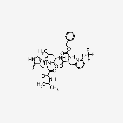 CC(C)C[C@H](NC(=O)[C@H](Cc1cccc(OC(F)(F)F)n1)NC(=O)OCc1ccccc1)C(=O)N[C@@H](C[C@@H]1CCNC1=O)C(=O)C(=O)NC(C)C